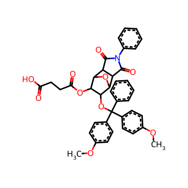 COc1ccc(C(OC2C(OC(=O)CCC(=O)O)C3OC2C2C(=O)N(c4ccccc4)C(=O)C32)(c2ccccc2)c2ccc(OC)cc2)cc1